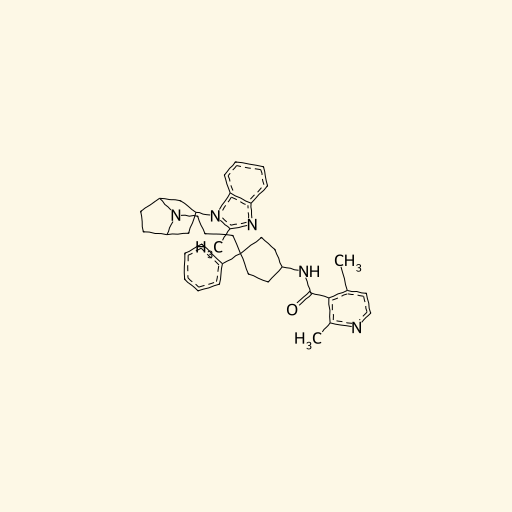 Cc1ccnc(C)c1C(=O)NC1CCC(CCCN2C3CCC2CC(n2c(C)nc4ccccc42)C3)(c2ccccc2)CC1